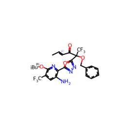 C/C=C/C(=O)C(OCc1ccccc1)(c1nnc(-c2nc(O[C@H](C)CC)c(C(F)(F)F)cc2N)o1)C(F)(F)F